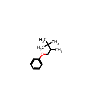 CC(COc1ccccc1)C(C)(C)C